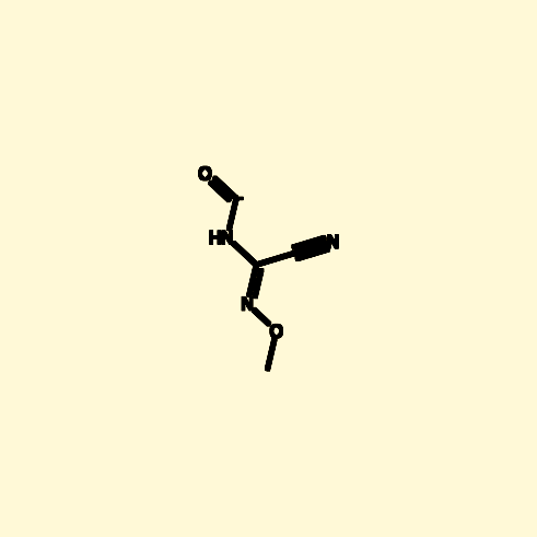 CO/N=C(\C#N)N[C]=O